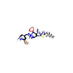 CSc1nc2c(s1)c1cnn(Cc3ccnc(Br)c3)c(=O)c1n2C